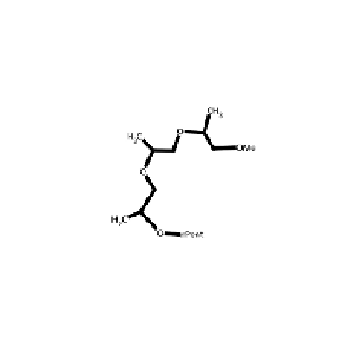 CCCCCOC(C)COC(C)COC(C)COC